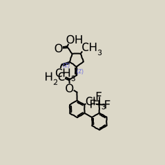 C=C(/C=C1/CC(C)C(C(=O)O)/C1=C/C)OCc1cccc(-c2ccccc2C(F)(F)F)c1C